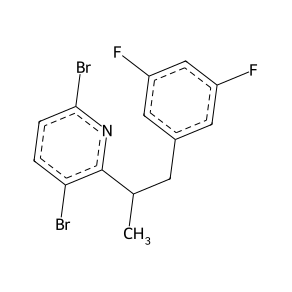 CC(Cc1cc(F)cc(F)c1)c1nc(Br)ccc1Br